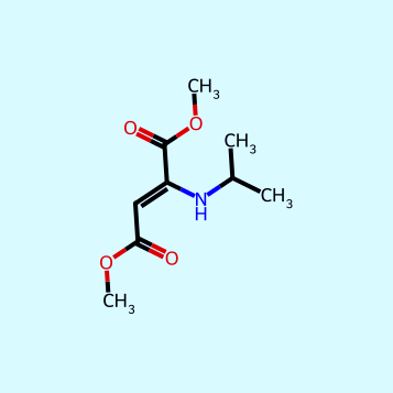 COC(=O)C=C(NC(C)C)C(=O)OC